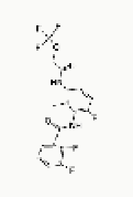 O=C(COC(F)(F)F)Nc1ccc(F)c(NC(=O)c2cccc(F)c2F)c1F